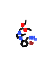 CCOC(CN1C=CN(c2cccc(Br)c2CN)C1C)OCC